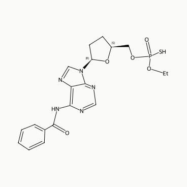 CCOP(=O)(S)OC[C@@H]1CC[C@H](n2cnc3c(NC(=O)c4ccccc4)ncnc32)O1